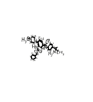 CCC1(N)CC1c1ccc(NC(=O)c2ccc(N3CCN(C)CC3)c(NC(=O)OCc3ccccc3)c2)cc1